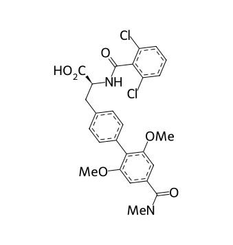 CNC(=O)c1cc(OC)c(-c2ccc(C[C@H](NC(=O)c3c(Cl)cccc3Cl)C(=O)O)cc2)c(OC)c1